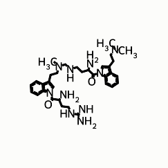 CN(C)CCc1cn(C(=O)C(N)CCNCN(C)CCc2cn(C(=O)C(N)CCNC(=N)N)c3ccccc23)c2ccccc12